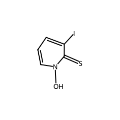 On1cccc(I)c1=S